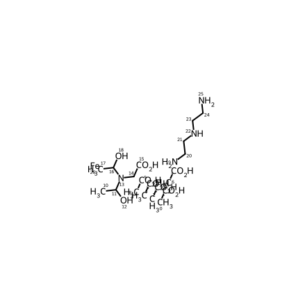 CC(=O)O.CC(=O)O.CC(=O)O.CC(=O)O.CC(=O)O.CC(O)N(CC(=O)O)C(C)O.NCCNCCN.[Fe]